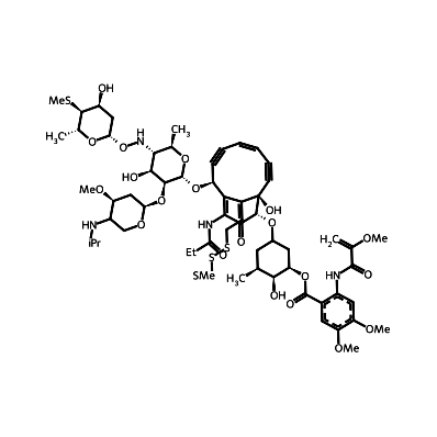 C=C(OC)C(=O)Nc1cc(OC)c(OC)cc1C(=O)O[C@@H]1CC(O[C@@H]2C(=O)C(NC(=O)CC)=C3/C(=C\CSSSC)[C@]2(O)C#C/C=C\C#C[C@@H]3O[C@H]2O[C@H](C)[C@@H](NO[C@H]3C[C@H](O)[C@H](SC)[C@@H](C)O3)[C@H](O)[C@@H]2O[C@@H]2C[C@H](OC)C(NC(C)C)CO2)C[C@H](C)[C@@H]1O